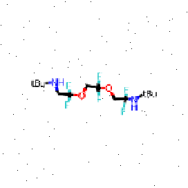 CC(C)(C)NCC(F)(F)OCC(F)(F)OCC(F)(F)NC(C)(C)C